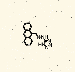 C(=NNc1nnn[nH]1)c1c2ccccc2cc2ccccc12